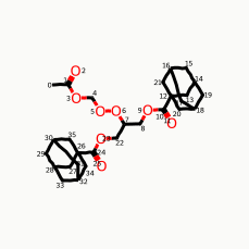 CC(=O)OCOOC(COC(=O)C12CC3CC(CC(C3)C1)C2)COC(=O)C12CC3CC(CC(C3)C1)C2